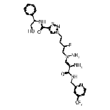 N/C(=C\N(N)CC(F)CCn1cc(C(=O)NC(CO)c2ccccc2)nn1)C(=O)NCc1cc(C(F)(F)F)ccn1